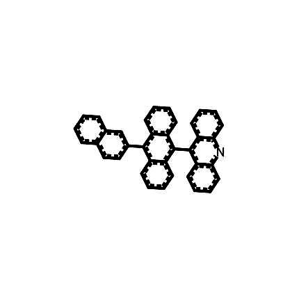 c1ccc2cc(-c3c4ccccc4c(-c4c5ccccc5nc5ccccc45)c4ccccc34)ccc2c1